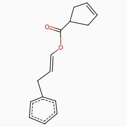 O=C(OC=CCc1ccccc1)C1CC=CC1